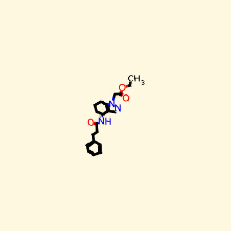 CCOC(=O)Cn1ncc2c1CCC[C@H]2NC(=O)CCc1ccccc1